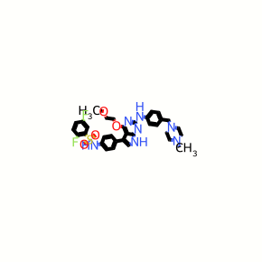 COCCOc1nc(Nc2ccc(CN3CCN(C)CC3)cc2)nc2[nH]cc(-c3ccc(NS(=O)(=O)c4cc(F)ccc4F)cc3)c12